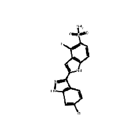 NS(=O)(=O)c1ccc2[nH]c(-c3n[nH]c4cc(Cl)ccc34)cc2c1F